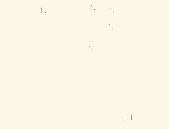 CCCCCSc1nsnc1C1CN2CCC1CC2